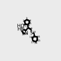 Oc1ccccc1C(=CSCc1ccccc1)c1ncc[nH]1